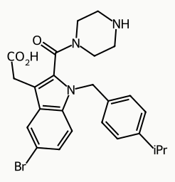 CC(C)c1ccc(Cn2c(C(=O)N3CCNCC3)c(CC(=O)O)c3cc(Br)ccc32)cc1